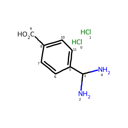 Cl.Cl.NC(N)c1ccc(C(=O)O)cc1